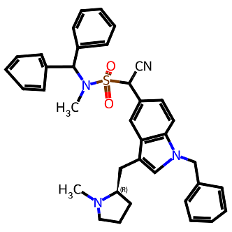 CN1CCC[C@@H]1Cc1cn(Cc2ccccc2)c2ccc(C(C#N)S(=O)(=O)N(C)C(c3ccccc3)c3ccccc3)cc12